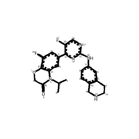 CC(C)N1C(=O)COc2c(F)cc(-c3nc(Nc4ccc5c(c4)CCNC5)ncc3F)cc21